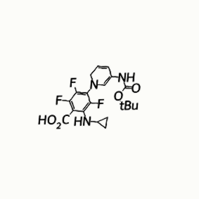 CC(C)(C)OC(=O)NC1=CN(c2c(F)c(F)c(C(=O)O)c(NC3CC3)c2F)CC=C1